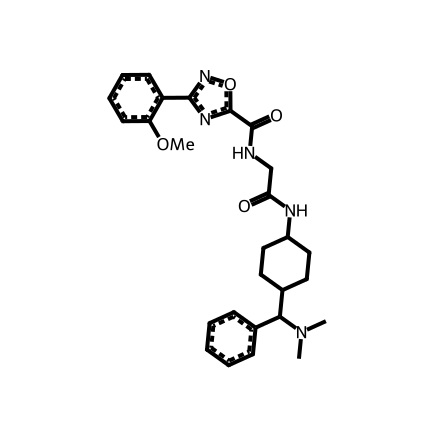 COc1ccccc1-c1noc(C(=O)NCC(=O)NC2CCC(C(c3ccccc3)N(C)C)CC2)n1